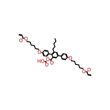 C=CC(=O)OCCCCCCOc1ccc(-c2cc(CCCCC)c(-c3ccc(OCCCCCCOC(=O)C=C)cc3)c(C(=O)OC(=O)O)c2)cc1